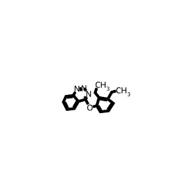 CCc1cccc(Oc2nnnc3ccccc23)c1CC